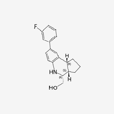 OC[C@@H]1Nc2ccc(-c3cccc(F)c3)cc2[C@@H]2CCC[C@H]12